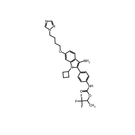 CC(OC(=O)Nc1ccc(-c2c(N)c3ccc(OCCCCn4cncn4)cc3n2C2CCC2)cc1)C(F)(F)F